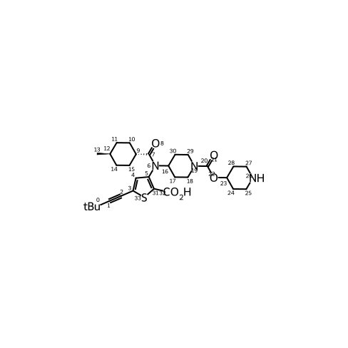 CC(C)(C)C#Cc1cc(N(C(=O)[C@H]2CC[C@H](C)CC2)C2CCN(C(=O)OC3CCNCC3)CC2)c(C(=O)O)s1